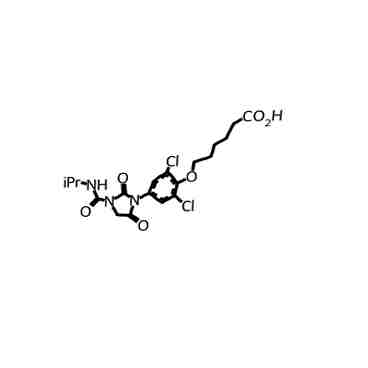 CC(C)NC(=O)N1CC(=O)N(c2cc(Cl)c(OCCCCCC(=O)O)c(Cl)c2)C1=O